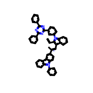 C=Cc1c(/C=C(\C)c2ccc3c(c2)c2ccccc2n3-c2ccccc2)c2ccccc2n1-c1cccc(-c2nc(-c3ccccc3)nc(-c3ccccc3)n2)c1